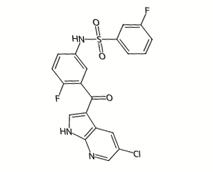 O=C(c1cc(NS(=O)(=O)c2cccc(F)c2)ccc1F)c1c[nH]c2ncc(Cl)cc12